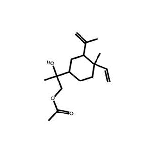 C=CC1(C)CCC(C(C)(O)COC(C)=O)CC1C(=C)C